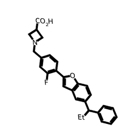 CCC(c1ccccc1)c1ccc2oc(-c3ccc(CN4CC(C(=O)O)C4)cc3F)cc2c1